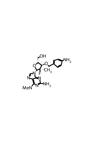 CNc1nc(N)nc2c1ncn2[C@@H]1O[C@H](CO)[C@@H](OCc2ccc(N)cc2)[C@@]1(C)F